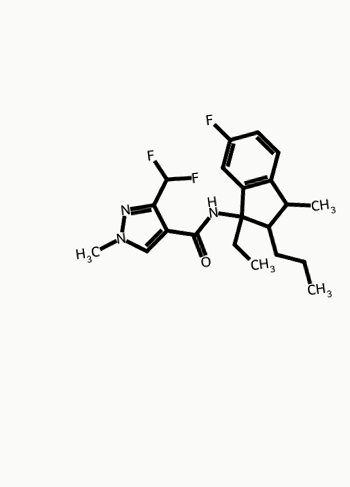 CCCC1C(C)c2ccc(F)cc2C1(CC)NC(=O)c1cn(C)nc1C(F)F